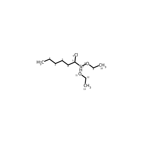 CCCCCC(Cl)[SiH](OCC)OCC